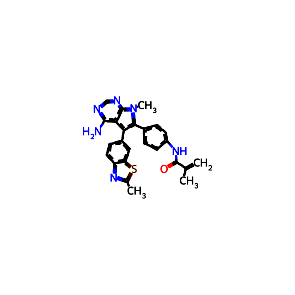 C=C(C)C(=O)Nc1ccc(-c2c(-c3ccc4nc(C)sc4c3)c3c(N)ncnc3n2C)cc1